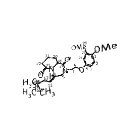 COc1ccc(OCCN(CC=CC[Si](C)(C)C)C(=O)[C@@H]2CCCC(=O)N2)cc1OC